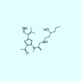 C=C(CNCCC(O)CCC)N(C)c1cc(C(C=N)=C(C)C)sc1C(C)=O